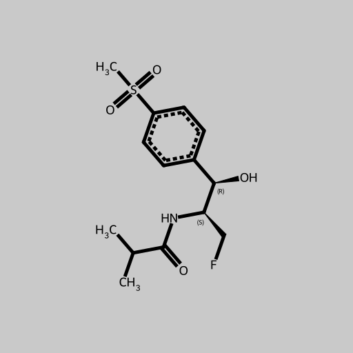 CC(C)C(=O)N[C@H](CF)[C@H](O)c1ccc(S(C)(=O)=O)cc1